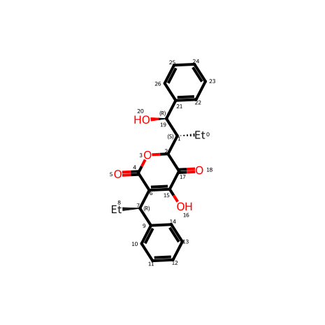 CC[C@H](C1OC(=O)C([C@H](CC)c2ccccc2)=C(O)C1=O)[C@@H](O)c1ccccc1